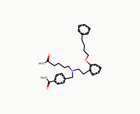 COC(=O)CCCCN(CCc1ccccc1OCCCCc1ccccc1)Cc1ccc(C(=O)OC)cc1